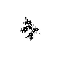 CC(O)(CO[C@@](C)(Cn1ccc2cc(C(F)(F)F)ccc21)C(=O)Nc1ccc(C#N)c(C(F)(F)F)c1)C(=O)Nc1ccc(C#N)c(C(F)(F)F)c1